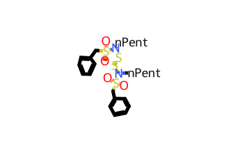 CCCCCN(SSN(CCCCC)S(=O)(=O)Cc1ccccc1)S(=O)(=O)Cc1ccccc1